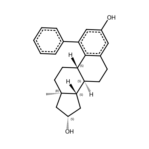 C[C@]12CC[C@@H]3c4c(cc(O)cc4-c4ccccc4)CC[C@H]3[C@@H]1C[C@H](O)C2